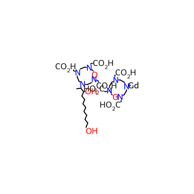 CC(C(O)CCCCCCCCCO)N1CCN(CC(=O)O)CCN(CC(=O)O)CON(CC(=O)O)CC1.O=C(O)CN1CC[N]([Gd])CCN(CC(=O)O)OCN(CC(=O)O)CC1